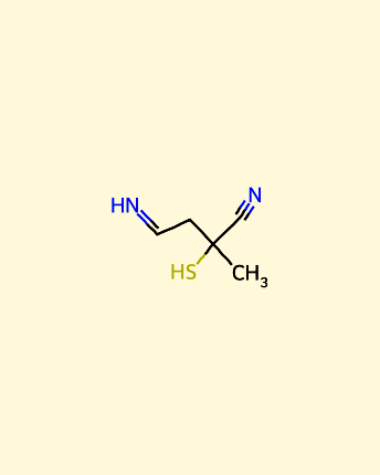 CC(S)(C#N)CC=N